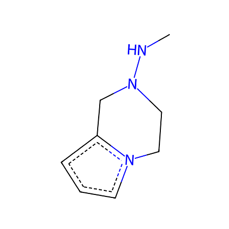 CNN1CCn2cccc2C1